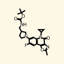 Cc1nc2c(=O)n(C3CC3)c3cc(N4CCC(CNC(=O)OC(C)(C)C)C4)c(F)cc3c2o1